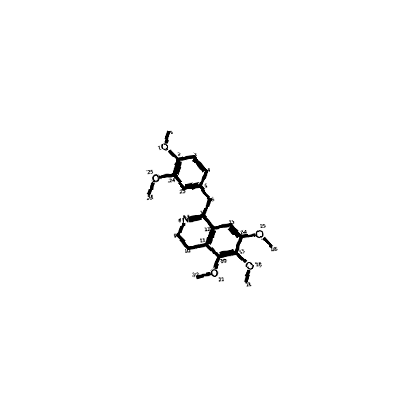 COc1ccc(CC2=NCCc3c2cc(OC)c(OC)c3OC)cc1OC